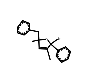 CC1=CC(C)(Cc2ccccc2)SC1(Br)c1ccccc1